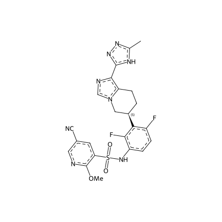 COc1ncc(C#N)cc1S(=O)(=O)Nc1ccc(F)c([C@@H]2CCc3c(-c4nnc(C)[nH]4)ncn3C2)c1F